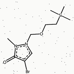 Cn1c(=O)c(Br)cn1COCC[Si](C)(C)C